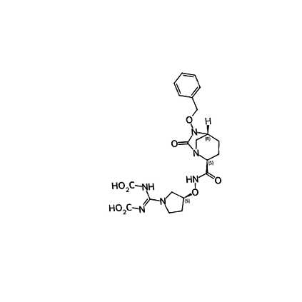 O=C(O)N=C(NC(=O)O)N1CC[C@H](ONC(=O)[C@@H]2CC[C@@H]3CN2C(=O)N3OCc2ccccc2)C1